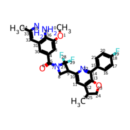 COc1cc(C(=O)N2CC(c3cc4c(c(-c5ccc(F)cc5)n3)OCC4C)C2(F)F)cc(/C=C(/C)N)c1N